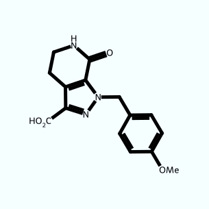 COc1ccc(Cn2nc(C(=O)O)c3c2C(=O)NCC3)cc1